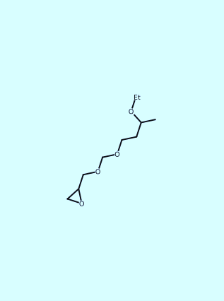 CCOC(C)CCOCOCC1CO1